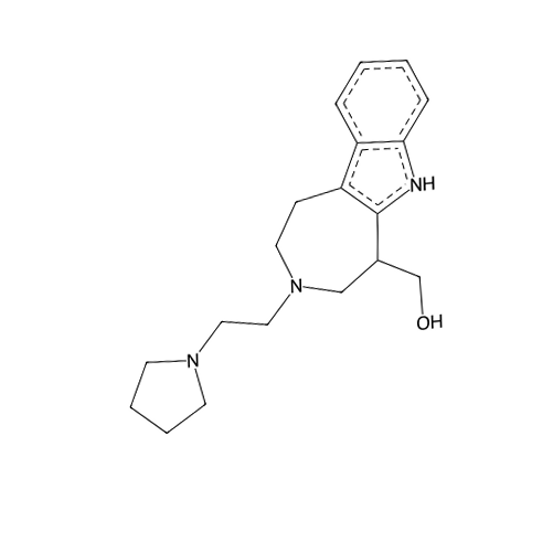 OCC1CN(CCN2CCCC2)CCc2c1[nH]c1ccccc21